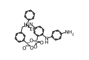 CCN(Cc1cccc(S(=O)(=O)OS(=O)(=O)c2cc(N)ccc2Nc2ccc(N)cc2)c1)c1ccccc1